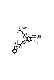 CCOC(=O)c1c(C)nc(N2CC(C(=O)NS(=O)(=O)Cc3ccccc3)C2)c(OCCCC(=O)OC)c1CC